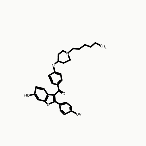 CCCCCCN1CCC(Oc2ccc(C(=O)c3c(-c4ccc(O)cc4)sc4cc(O)ccc34)cc2)CC1